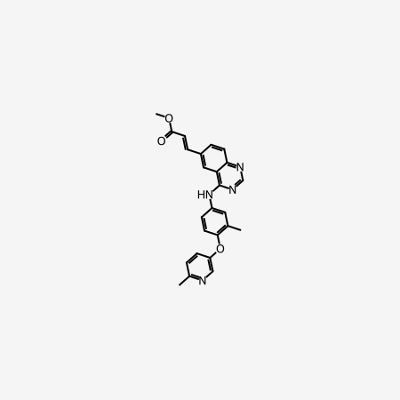 COC(=O)C=Cc1ccc2ncnc(Nc3ccc(Oc4ccc(C)nc4)c(C)c3)c2c1